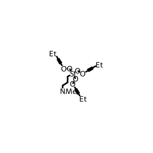 CCC#COO[Si](CCCNC)(OOC#CCC)OOC#CCC